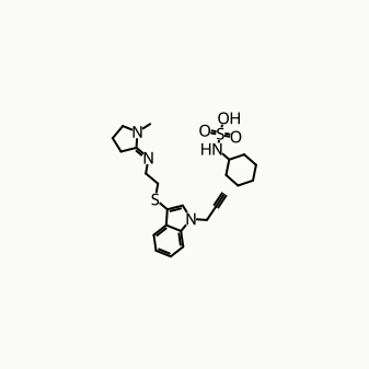 C#CCn1cc(SCC/N=C2\CCCN2C)c2ccccc21.O=S(=O)(O)NC1CCCCC1